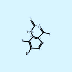 CC(=O)c1ccc(Br)c(C)c1NC=O